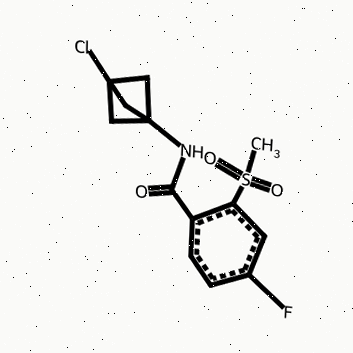 CS(=O)(=O)c1cc(F)ccc1C(=O)NC12CC(Cl)(C1)C2